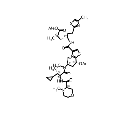 COC(=O)[C@@H](C)C[C@H](CCc1nc(C)cs1)NC(=O)c1csc([C@@H](C[C@H](C(C)C)N(C)C(=O)[C@@H](NC(=O)[C@H]2COCCN2C)[C@@H](C)C2CC2)OC(C)=O)n1